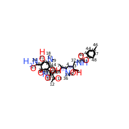 C=C(O)/C(=C\C(=C(/C)C[C@H](CC(C)=O)C[C@H]1[C@H](N(C)C)C(O)=C(C(N)=O)C(=O)[C@@]1(N=O)C(=C)O)N(C)C)CNC(=O)Oc1ccc(C)cc1